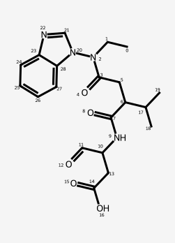 CCN(C(=O)CC(C(=O)NC(C=O)CC(=O)O)C(C)C)n1cnc2ccccc21